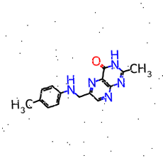 Cc1ccc(NCc2cnc3nc(C)[nH]c(=O)c3n2)cc1